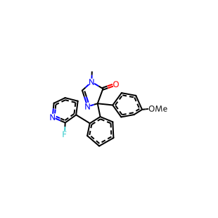 COc1ccc(C2(c3ccccc3-c3cccnc3F)N=CN(C)C2=O)cc1